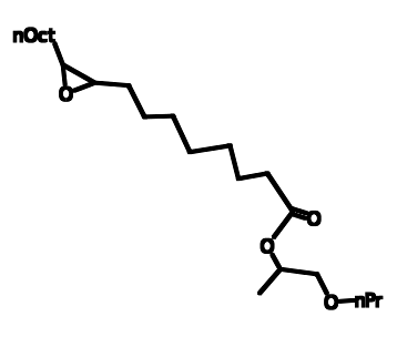 CCCCCCCCC1OC1CCCCCCCC(=O)OC(C)COCCC